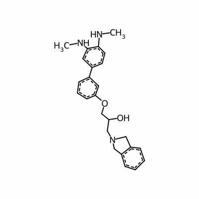 CNc1ccc(-c2cccc(OCC(O)CN3Cc4ccccc4C3)c2)cc1NC